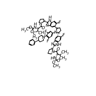 COC(=O)N[C@H](C(=O)N1CCC[C@H]1c1nc2cc([C@H]3CC[C@H](c4cc5nc([C@@H]6CCCN6C(=O)[C@@H](NC(=O)OC)C(C)C)[nH]c5cc4F)N3c3cc(F)c(N4CCC(c5ccccc5)CC4)c(F)c3)c(F)cc2[nH]1)C(C)C